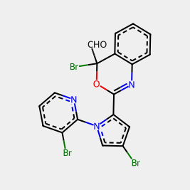 O=CC1(Br)OC(c2cc(Br)cn2-c2ncccc2Br)=Nc2ccccc21